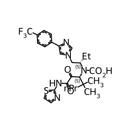 CCCC(C)(C)[C@@H](C(=O)C(=O)Nc1nccs1)N(C(=O)O)[C@@H](CC)Cn1cnc(-c2ccc(C(F)(F)F)cc2)c1